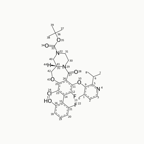 Cc1ccnc(C(C)C)c1Oc1c(F)c(-c2c(O)cccc2F)c(Cl)c2c1C(=O)N1CCN(C(=O)OC(C)(C)C)C[C@H]1CO2